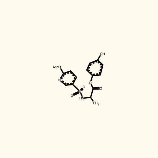 COc1ccc(S(=O)(=O)NC(C)C(=O)Oc2ccc(O)cc2)cn1